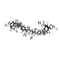 Cc1cc(C)cc(NS(=O)(=O)c2ccc(CC(=O)NCCC(=O)Nc3ccc(S(=O)(=O)Nc4cc(C)cc(C)c4)cc3)cc2)c1